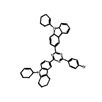 Brc1ccc(-c2nc(C3=CC4C5C=CC=CC5N(C5=CCCCC5)C4C=C3)nc(-c3ccc4c(c3)c3c(n4C4C=CCCC4)CCCC3)n2)cc1